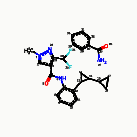 Cn1cc(C(=O)Nc2ccccc2C2CC2C2CC2)c(C(F)F)n1.NC(=O)c1ccccc1